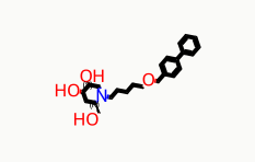 OC[C@H]1CC(O)[C@@H](O)CN1CCCCCOCc1ccc(-c2ccccc2)cc1